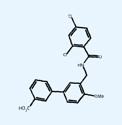 COc1ccc(-c2cccc(C(=O)O)c2)cc1CNC(=O)c1ccc(Cl)cc1Cl